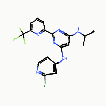 CC(C)Nc1cc(Nc2ccnc(Cl)c2)nc(-c2cccc(C(F)(F)F)n2)n1